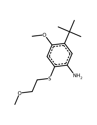 COCCSc1cc(OC)c(C(C)(C)C)cc1N